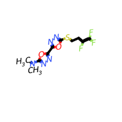 CN(C)c1nnc(-c2nnc(SCCC(F)=C(F)F)o2)o1